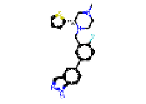 CN1CCN(Cc2cc(-c3ccc4[nH]ncc4c3)ccc2F)[C@H](c2cccs2)C1